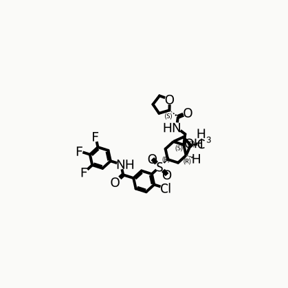 C[C@@H]1CC2C[C@@H](S(=O)(=O)c3cc(C(=O)Nc4cc(F)c(F)c(F)c4)ccc3Cl)C[C@H]1[C@]2(O)CNC(=O)[C@@H]1CCCO1